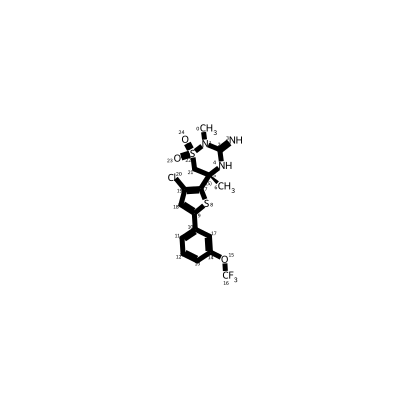 CN1C(=N)N[C@](C)(c2sc(-c3cccc(OC(F)(F)F)c3)cc2Cl)CS1(=O)=O